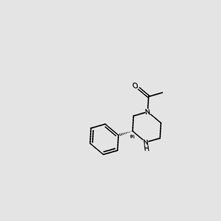 CC(=O)N1CCN[C@H](c2ccccc2)C1